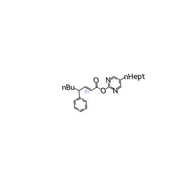 CCCCCCCc1cnc(OC(=O)/C=C/C(CCCC)c2ccccc2)nc1